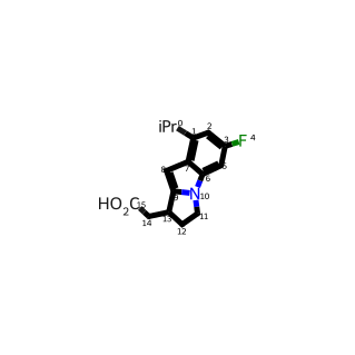 CC(C)c1cc(F)cc2c1cc1n2CCC1CC(=O)O